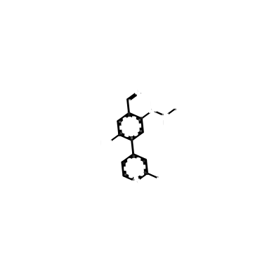 Cc1cc(C=N)c(NPI)cc1-c1ccnc(F)c1